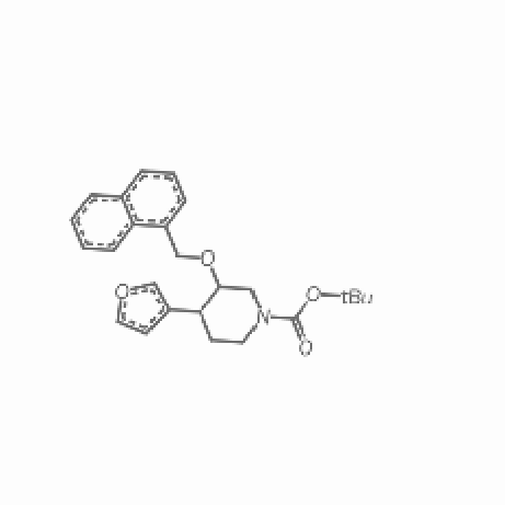 CC(C)(C)OC(=O)N1CCC(c2ccoc2)C(OCc2cccc3ccccc23)C1